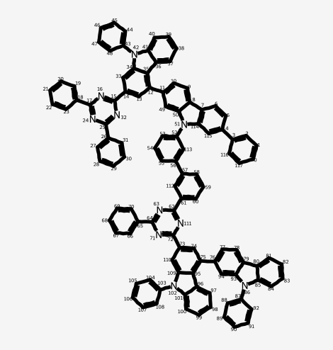 c1ccc(-c2ccc3c4ccc(-c5cc(-c6nc(-c7ccccc7)nc(-c7ccccc7)n6)cc6c5c5ccccc5n6-c5ccccc5)cc4n(-c4cccc(-c5cccc(-c6nc(-c7ccccc7)nc(-c7cc(-c8ccc9c%10ccccc%10n(-c%10ccccc%10)c9c8)c8c9ccccc9n(-c9ccccc9)c8c7)n6)c5)c4)c3c2)cc1